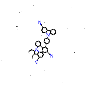 C/C=C\c1c(CC)c2c(C#N)cccc2n1-c1ccccc1-c1ccc(C#N)cc1-c1ccc(-n2c3ccccc3c3cc(C#N)ccc32)cc1